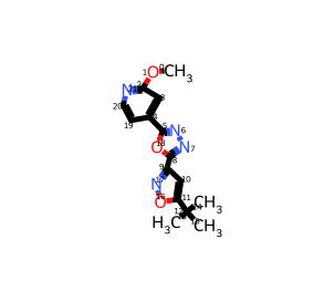 COc1cc(-c2nnc(-c3cc(C(C)(C)C)on3)o2)ccn1